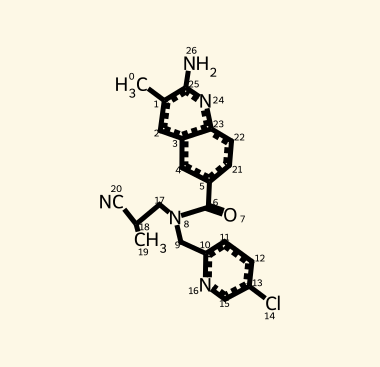 Cc1cc2cc(C(=O)N(Cc3ccc(Cl)cn3)CC(C)C#N)ccc2nc1N